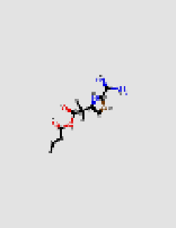 CCCC(=O)OC(=O)C(C)(C)c1csc(C(=N)N)n1